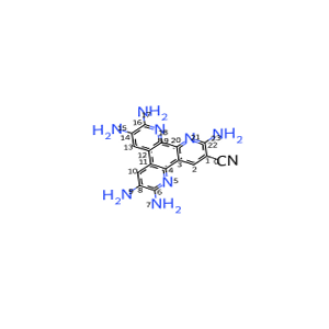 N#Cc1cc2c3nc(N)c(N)cc3c3cc(N)c(N)nc3c2nc1N